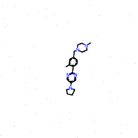 Cc1cc(CN2CCN(C)CC2)ccc1-c1ncc(N2CCCC2)cn1